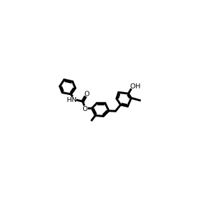 Cc1cc(Cc2ccc(OC(=O)Nc3ccccc3)c(C)c2)ccc1O